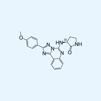 COc1ccc(-c2nc3c4ccccc4nc(N[C@H]4CCNC4=O)n3n2)cc1